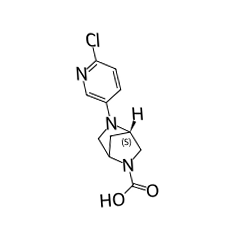 O=C(O)N1C[C@@H]2CC1CN2c1ccc(Cl)nc1